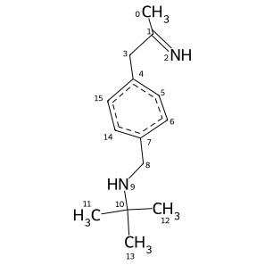 CC(=N)Cc1ccc(CNC(C)(C)C)cc1